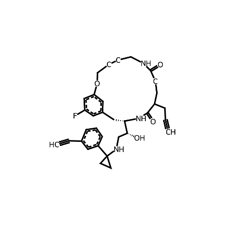 C#CCC1CCC(=O)NCCCCOc2cc(F)cc(c2)C[C@@H]([C@H](O)CNC2(c3cccc(C#C)c3)CC2)NC1=O